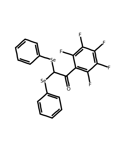 O=C(c1c(F)c(F)c(F)c(F)c1F)C([Se]c1ccccc1)[Se]c1ccccc1